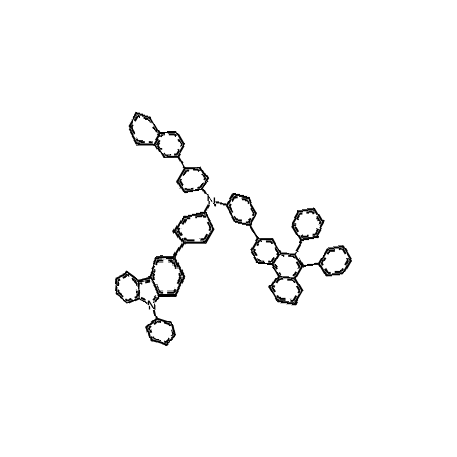 c1ccc(-c2c(-c3ccccc3)c3cc(-c4cccc(N(c5ccc(-c6ccc7ccccc7c6)cc5)c5ccc(-c6ccc7c(c6)c6ccccc6n7-c6ccccc6)cc5)c4)ccc3c3ccccc23)cc1